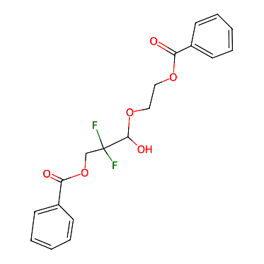 O=C(OCCOC(O)C(F)(F)COC(=O)c1ccccc1)c1ccccc1